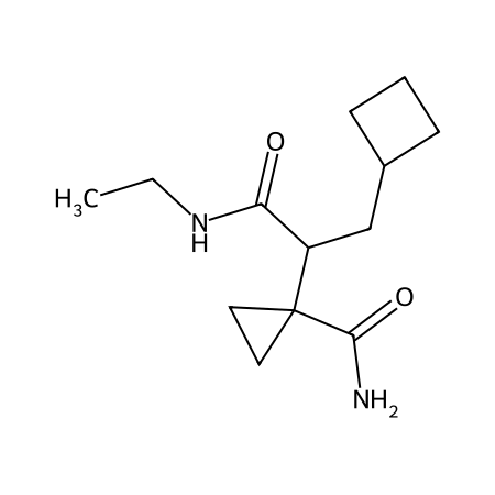 CCNC(=O)C(CC1CCC1)C1(C(N)=O)CC1